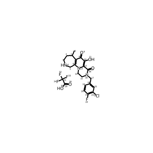 CC1CCNCc2c1c(=O)c(O)c1n2CCN(Cc2ccc(F)c(Cl)c2)C1=O.O=C(O)C(F)(F)F